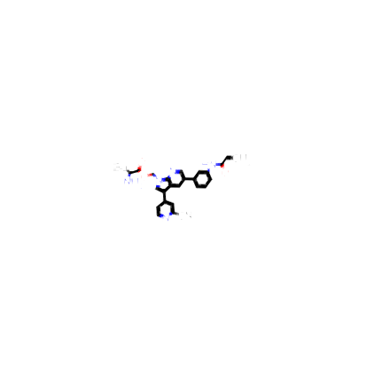 C=CC(=O)Nc1cccc(-c2cnc3c(c2)c(-c2ccnc(C#N)c2)cn3COC(=O)C(N)C(C)CC)c1